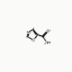 [NH]C(=O)c1cnco1